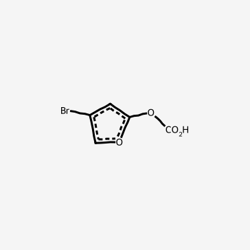 O=C(O)Oc1cc(Br)co1